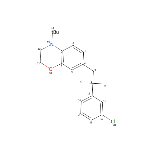 CC(C)(Cc1ccc2c(c1)OCCN2C(C)(C)C)c1cccc(Cl)c1